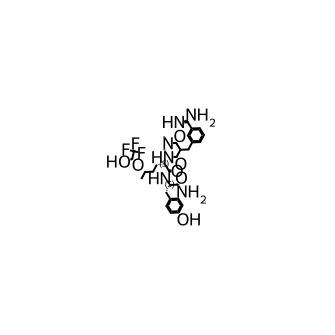 CCCC[C@H](NC(=O)C(Cc1cccc(C(=N)N)c1)C(=O)N(C)C)C(=O)N[C@@H](Cc1ccc(O)cc1)C(N)=O.O=C(O)C(F)(F)F